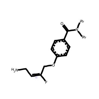 CC(C)N(C(=O)c1ccc(OC/C(F)=C\CN)cc1)C(C)C